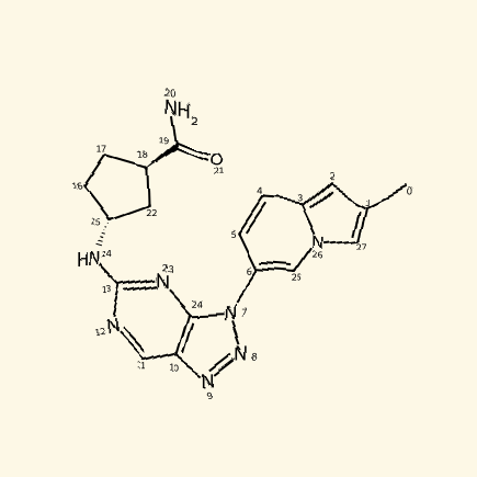 Cc1cc2ccc(-n3nnc4cnc(N[C@@H]5CC[C@@H](C(N)=O)C5)nc43)cn2c1